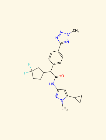 Cn1nnc(-c2ccc(C(C(=O)Nc3cc(C4CC4)n(C)n3)C3CCC(F)(F)C3)cc2)n1